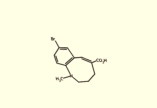 CN1CCCC(C(=O)O)=Cc2cc(Br)ccc21